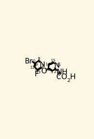 O=C(O)Nc1cc(Oc2ncc(Br)cc2F)ccn1